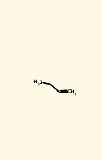 BCC=C